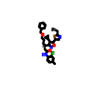 Cc1ccc(NC(=O)C[C@H](CCCOCc2ccccc2)c2noc(-c3cnc(CC(C)C)s3)c2C2CC2)c(Cl)c1